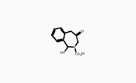 CCOC(=O)N1CC(=O)Cc2ccccc2C1O